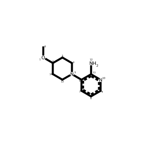 COC1CCN(c2cccnc2N)CC1